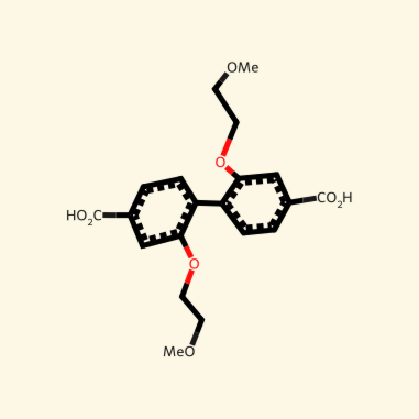 COCCOc1cc(C(=O)O)ccc1-c1ccc(C(=O)O)cc1OCCOC